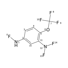 FNc1ccc(OC(F)(F)F)c(N(F)F)c1